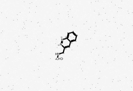 O=[C]NCc1cc2ccccc2nn1